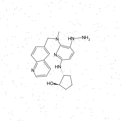 CN(Cc1ccc2ncccc2c1)c1nc(N[C@@H]2CCC[C@H]2O)ccc1NN